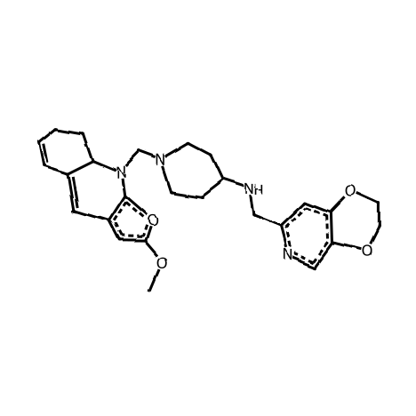 COc1cc2c(o1)N(CN1CCC(NCc3cc4c(cn3)OCCO4)CC1)C1CCC=CC1=C2